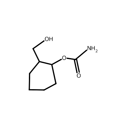 NC(=O)OC1CCCCC1CO